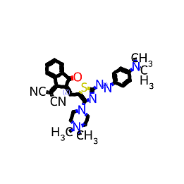 CN(C)c1ccc(/N=N/c2nc(N3CC[N+](C)(C)CC3)c(/C=C3\C(=O)c4ccccc4C3=C(C#N)C#N)s2)cc1